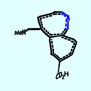 CNc1ccnc2ccc(C(=O)O)cc12